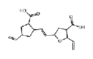 C=CC1CC(C=CC2CC(C(=O)O)C(C=C)O2)C(C(=O)O)C1